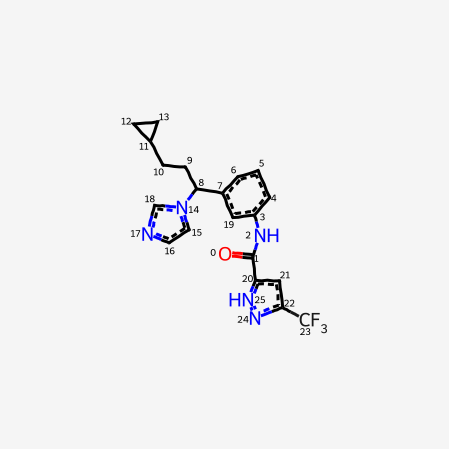 O=C(Nc1cccc(C(CCC2CC2)n2ccnc2)c1)c1cc(C(F)(F)F)n[nH]1